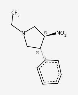 O=[N+]([O-])[C@@H]1CN(CC(F)(F)F)C[C@H]1c1ccccc1